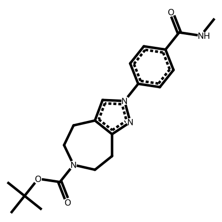 CNC(=O)c1ccc(-n2cc3c(n2)CCN(C(=O)OC(C)(C)C)CC3)cc1